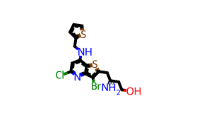 N[C@@H](CCO)Cc1sc2c(NCc3cccs3)cc(Cl)nc2c1Br